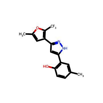 Cc1ccc(O)c(-c2cc(-c3cc(C)oc3C(F)(F)F)n[nH]2)c1